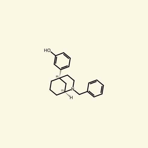 Oc1cccc([C@@]23CCC[C@@H](C2)N(Cc2ccccc2)CC3)c1